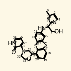 Cc1ccnc(C(CO)Nc2ccc3c(c2)Sc2cccc(C4CN(c5ccc[nH]c5=O)CCO4)c2S3)n1